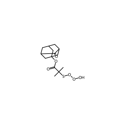 CC(C)(SOOO)C(=O)OC12CC3CC(C1)C(=O)C(C3)C2